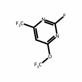 Fc1nc(OC(F)(F)F)cc(C(F)(F)F)n1